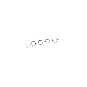 FC1CC(C2CCC(C3CCC(Cl)CC3)CC2)CCC1C1CC(F)C(OC(F)(F)F)C(F)C1